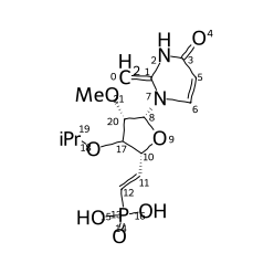 C=C1NC(=O)C=CN1[C@@H]1O[C@H](/C=C/P(=O)(O)O)C(OC(C)C)[C@@H]1OC